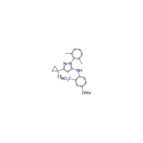 COc1ccc(Nc2cc(C3(C(F)(F)F)CC3)nn2-c2c(C)cccc2C)c(C(=O)O)c1